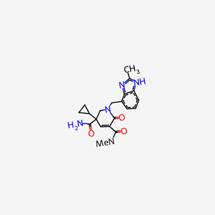 CNC(=O)C1=CC(C(N)=O)(C2CC2)CN(Cc2cccc3[nH]c(C)nc23)C1=O